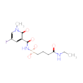 CCNC(=O)CCCS(=O)(=O)NC(=O)c1cc(I)cn(C)c1=O